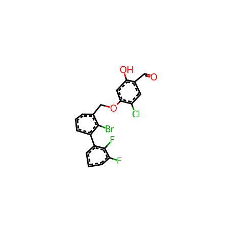 O=Cc1cc(Cl)c(OCc2cccc(-c3cccc(F)c3F)c2Br)cc1O